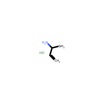 C=CC(N)[SiH3].Cl